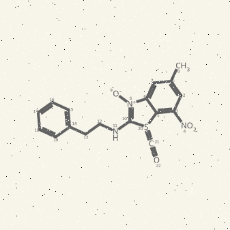 Cc1cc([N+](=O)[O-])c2c(c1)[N+]([O-])=C(NCCc1ccccc1)S2=C=O